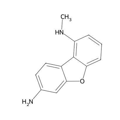 CNc1cccc2oc3cc(N)ccc3c12